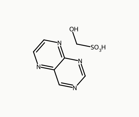 O=S(=O)(O)CO.c1cnc2ncncc2n1